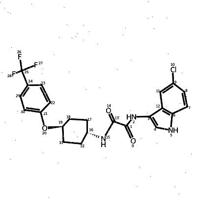 O=C(Nc1c[nH]c2ccc(Cl)cc12)C(=O)N[C@H]1CC[C@H](Oc2ccc(C(F)(F)F)cc2)CC1